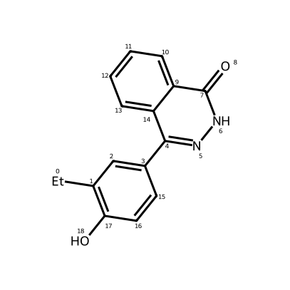 CCc1cc(-c2n[nH]c(=O)c3ccccc23)ccc1O